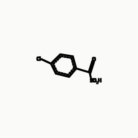 O=C(c1ccc(Cl)cc1)S(=O)(=O)O